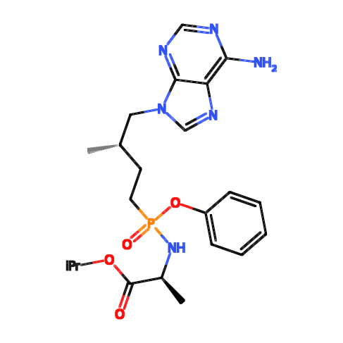 CC(C)OC(=O)[C@H](C)NP(=O)(CC[C@H](C)Cn1cnc2c(N)ncnc21)Oc1ccccc1